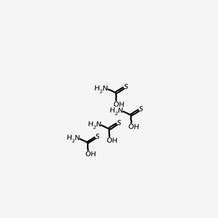 NC(O)=S.NC(O)=S.NC(O)=S.NC(O)=S